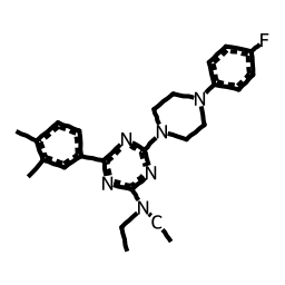 CCN(CC)c1nc(-c2ccc(C)c(C)c2)nc(N2CCN(c3ccc(F)cc3)CC2)n1